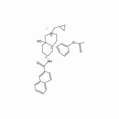 CC(=O)Oc1cccc([C@@]23CC[N@+](C)(CC4CC4)CC2(O)CC[C@@H](NC(=O)c2ccc4ccccc4c2)C3)c1